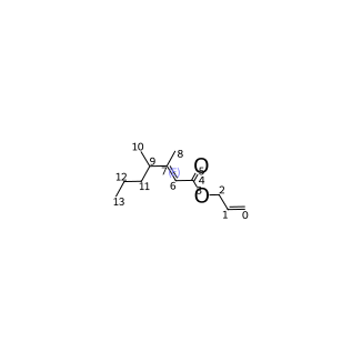 C=CCOC(=O)/C=C(\C)C(C)CCC